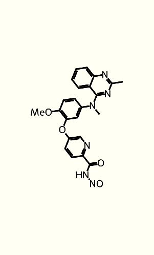 COc1ccc(N(C)c2nc(C)nc3ccccc23)cc1Oc1ccc(C(=O)NN=O)nc1